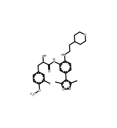 CCCC(Cc1ccc(OC(F)(F)F)c(F)c1)C(=O)Nc1cc(-c2c(C)noc2C)ccc1NCCC1CCOCC1